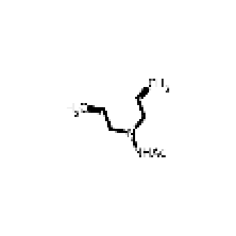 C=CCN(CC=C)NC(C)=O